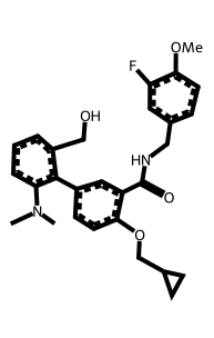 COc1ccc(CNC(=O)c2cc(-c3c(CO)cccc3N(C)C)ccc2OCC2CC2)cc1F